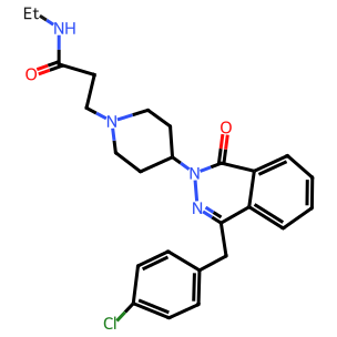 CCNC(=O)CCN1CCC(n2nc(Cc3ccc(Cl)cc3)c3ccccc3c2=O)CC1